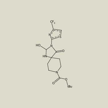 CC(C)(C)OC(=O)N1CCC2(CC1)NC(O)N(c1nc(C(F)(F)F)cs1)C2=O